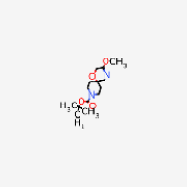 COC1=NCC2(CCN(C(=O)OC(C)(C)C)CC2)OC1